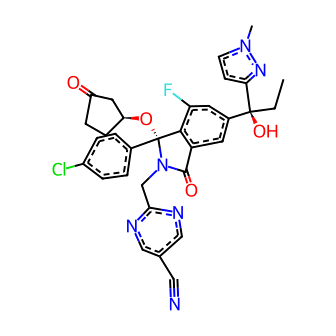 CC[C@](O)(c1cc(F)c2c(c1)C(=O)N(Cc1ncc(C#N)cn1)[C@@]2(O[C@H]1CCC(=O)C1)c1ccc(Cl)cc1)c1ccn(C)n1